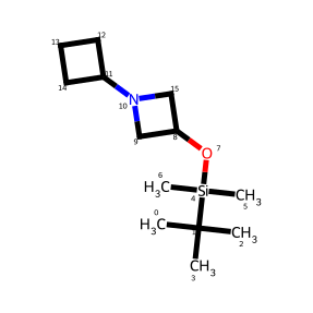 CC(C)(C)[Si](C)(C)OC1CN(C2CCC2)C1